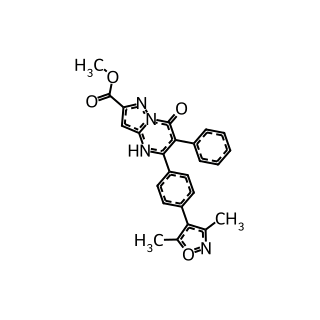 COC(=O)c1cc2[nH]c(-c3ccc(-c4c(C)noc4C)cc3)c(-c3ccccc3)c(=O)n2n1